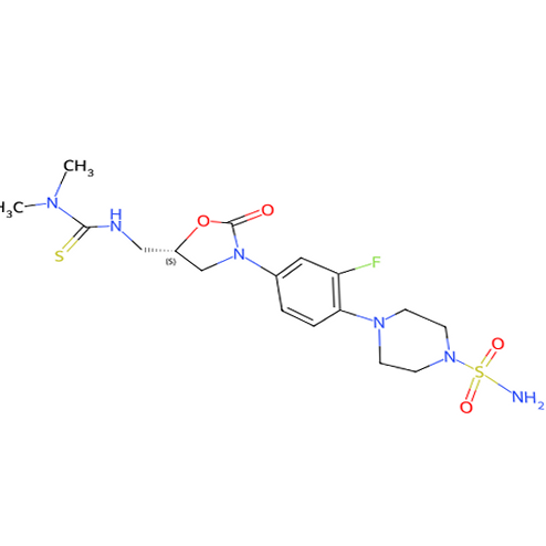 CN(C)C(=S)NC[C@H]1CN(c2ccc(N3CCN(S(N)(=O)=O)CC3)c(F)c2)C(=O)O1